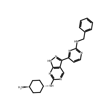 N[C@H]1CC[C@H](Nc2ncc3c(-c4ccnc(NCc5ccccc5)n4)n[nH]c3n2)CC1